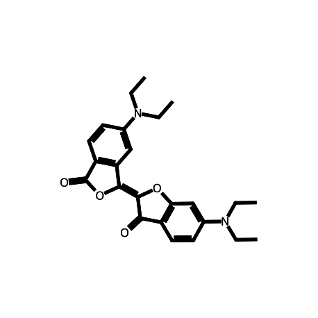 CCN(CC)c1ccc2c(c1)O/C(=C1/OC(=O)c3ccc(N(CC)CC)cc31)C2=O